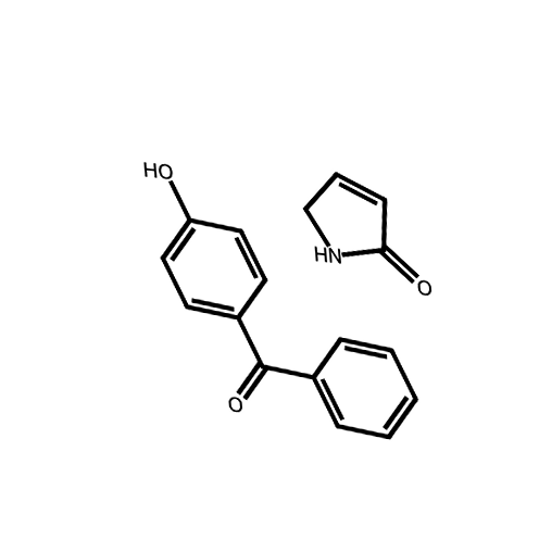 O=C(c1ccccc1)c1ccc(O)cc1.O=C1C=CCN1